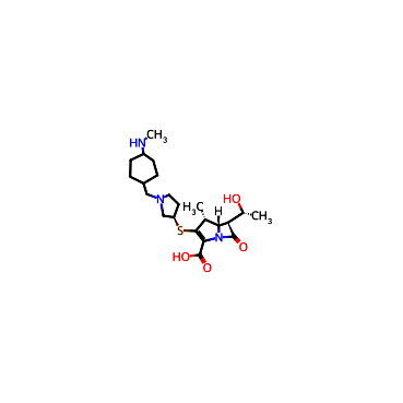 CNC1CCC(CN2CC[C@@H](SC3=C(C(=O)O)N4C(=O)[C@H]([C@@H](C)O)[C@H]4[C@H]3C)C2)CC1